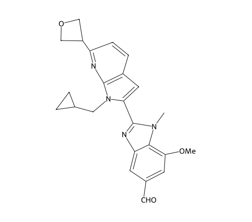 COc1cc(C=O)cc2nc(-c3cc4ccc(C5COC5)nc4n3CC3CC3)n(C)c12